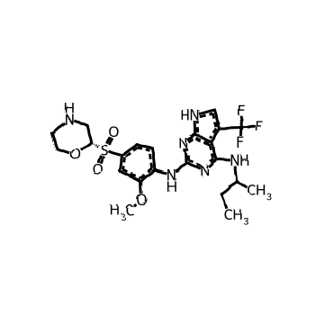 CCC(C)Nc1nc(Nc2ccc(S(=O)(=O)[C@H]3CNCCO3)cc2OC)nc2[nH]cc(C(F)(F)F)c12